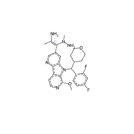 COc1nccc2c3ncc(/C(=C(\C)N)N(C)N)cc3n(C(c3ccc(F)cc3F)C3CCOCC3)c12